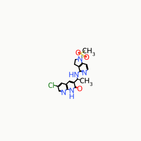 C[C@H](Nc1nccc2c1CCN2S(C)(=O)=O)c1cc2cc(Cl)cnc2[nH]c1=O